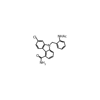 CC(=O)Nc1ccccc1Cn1c2cc(Cl)c[c]c2c2c(C(N)=O)cccc21